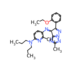 CCCN(CCC)c1ccc(/N=C2/C(c3ccccc3OCC)=Nn3nc(C)nc32)c(C)n1